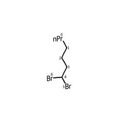 CCCCCCC(Br)Br